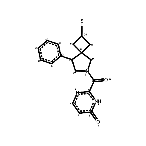 O=C(c1nccc(=O)[nH]1)N1CC(c2ccccc2)C2(CC(F)C2)C1